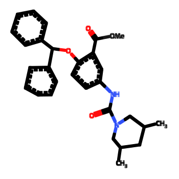 COC(=O)c1cc(NC(=O)N2CC(C)CC(C)C2)ccc1OC(c1ccccc1)c1ccccc1